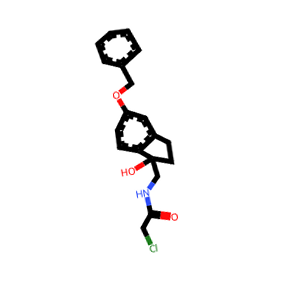 O=C(CCl)NCC1(O)CCc2cc(OCc3ccccc3)ccc21